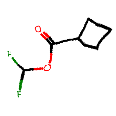 O=C(OC(F)F)C1CCC1